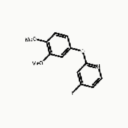 COc1ccc(Oc2cc(I)ccn2)cc1OC